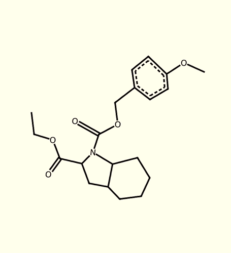 CCOC(=O)C1CC2CCCCC2N1C(=O)OCc1ccc(OC)cc1